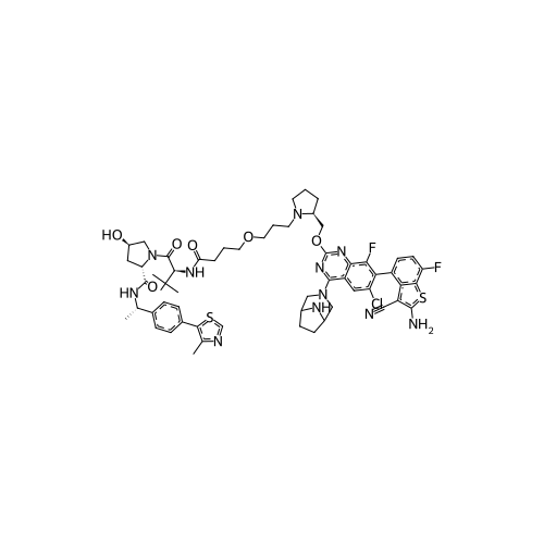 Cc1ncsc1-c1ccc([C@H](C)NC(=O)[C@@H]2C[C@@H](O)CN2C(=O)[C@@H](NC(=O)CCCOCCCN2CCC[C@H]2COc2nc(N3CC4CCC(C3)N4)c3cc(Cl)c(-c4ccc(F)c5sc(N)c(C#N)c45)c(F)c3n2)C(C)(C)C)cc1